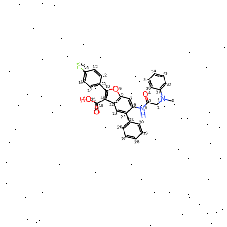 CN(CC(=O)Nc1cc2oc(-c3ccc(F)cc3)c(C(=O)O)c2cc1-c1ccccc1)c1ccccc1